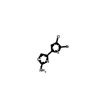 Nc1nc(-c2cc(Cl)c(Br)s2)cs1